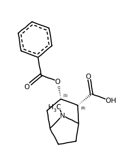 CN1C2CCC1[C@@H](C(=O)O)[C@@H](OC(=O)c1ccccc1)C2